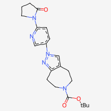 CC(C)(C)OC(=O)N1CCc2cn(-c3ccc(N4CCCC4=O)nc3)nc2CC1